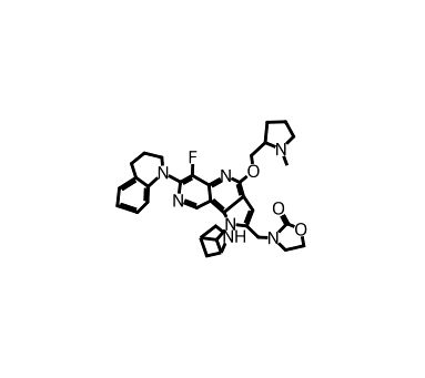 CN1CCCC1COc1nc2c(F)c(N3CCCc4ccccc43)ncc2c2c1cc(CN1CCOC1=O)n2C1C2CNC1C2